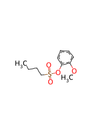 CCCCS(=O)(=O)Oc1ccccc1OC